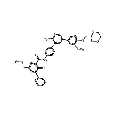 COc1cc(-c2cnc(N)c(-c3ccc(NC(=O)c4cn(CCF)cc(-c5ccccc5)c4=O)cc3)c2)ccc1OC[C@H]1COCCO1